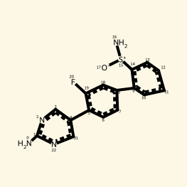 Nc1ncc(-c2ccc(-c3ccccc3[S+](N)[O-])cc2F)cn1